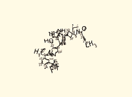 CC#CC(=O)N1CC[C@]2(C1)C[C@H](n1nc(-c3cnn([C@@H](C)c4cccc(C(F)(F)F)c4)c3)c(C(N)O)c1N)C2